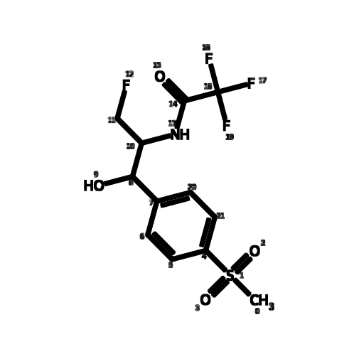 CS(=O)(=O)c1ccc(C(O)C(CF)NC(=O)C(F)(F)F)cc1